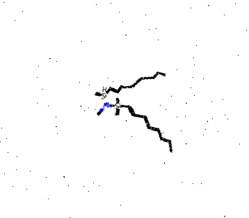 CCCCCC/C=C/[SiH](C)N(C)[Si](C)(C)/C=C/CCCCCC